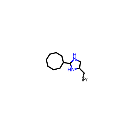 CC(C)CC1CNC(C2CCCCCCC2)N1